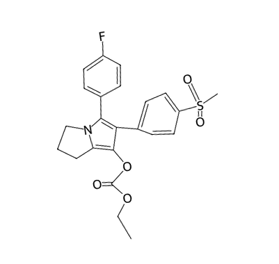 CCOC(=O)Oc1c(-c2ccc(S(C)(=O)=O)cc2)c(-c2ccc(F)cc2)n2c1CCC2